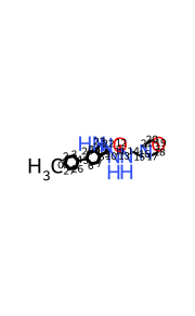 Cc1ccc(-c2ccc3c(NC(=O)NCCN4CCOCC4)n[nH]c3c2)cc1